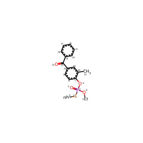 CCCSP(=O)(OCC)Oc1ccc(C(=O)c2ccccc2)cc1C